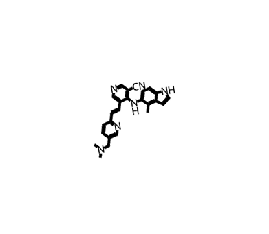 Cc1c(Nc2c(C#N)cncc2C=Cc2ccc(CN(C)C)cn2)ccc2[nH]ccc12